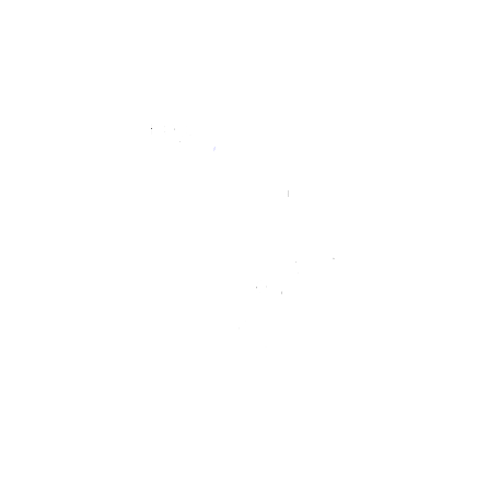 O=C(O)/C=C/c1ccc(F)c(-c2ccc(OCc3ccccc3)c(C34CC5CC(CC(C5)C3)C4)c2)c1